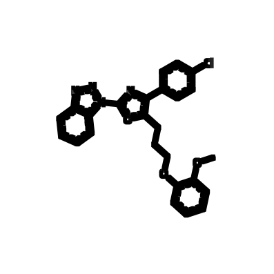 COc1ccccc1OCCCc1oc(-n2nnc3ccccc32)nc1-c1ccc(Cl)cc1